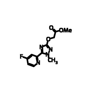 COC(=O)COc1nc(-c2cc(F)ccn2)n(C)n1